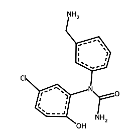 NCc1cccc(N(C(N)=O)c2cc(Cl)ccc2O)c1